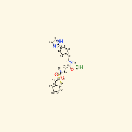 CN(CCc1ccc(C2=NCCN2)cc1)C(=O)CCN(C)S(=O)(=O)c1cc2ccccc2s1.Cl